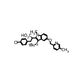 Cc1ccc(COc2ccc3c(c2)c(SC(C)(C)C)c(C(Cc2ccc(Cl)cc2)C(=O)O)n3C)nc1